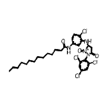 CCCCCCCCCCCCCC(=O)Nc1ccc(Cl)c(NC2CC(=O)N(c3c(Cl)cc(Cl)cc3Cl)[N+]2=O)c1